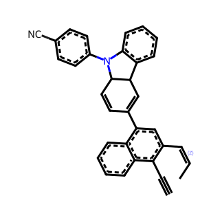 C#Cc1c(/C=C\C)cc(C2=CC3c4ccccc4N(c4ccc(C#N)cc4)C3C=C2)c2ccccc12